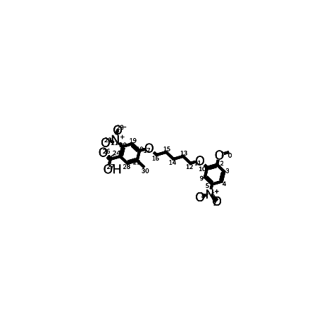 COc1ccc([N+](=O)[O-])cc1OCCCCCOc1cc([N+](=O)[O-])c(C(=O)O)cc1C